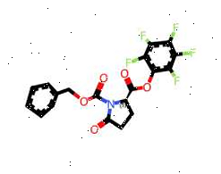 O=C(Oc1c(F)c(F)c(F)c(F)c1F)[C@H]1CCC(=O)N1C(=O)OCc1ccccc1